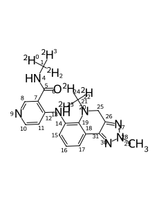 [2H]C([2H])([2H])NC(=O)c1cnccc1Nc1cccc2c1N(C([2H])([2H])[2H])Cc1nn(C)nc1-2